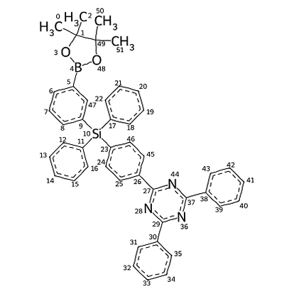 CC1(C)OB(c2cccc([Si](c3ccccc3)(c3ccccc3)c3ccc(-c4nc(-c5ccccc5)nc(-c5ccccc5)n4)cc3)c2)OC1(C)C